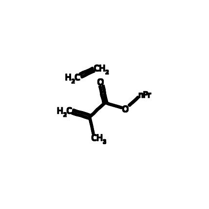 C=C.C=C(C)C(=O)OCCC